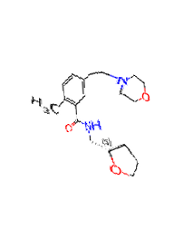 Cc1ccc(CN2CCOCC2)cc1C(=O)NC[C@@H]1CCCO1